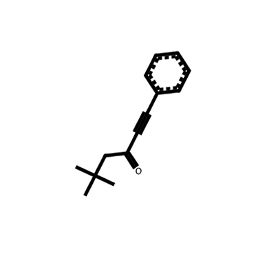 CC(C)(C)CC(=O)C#Cc1ccccc1